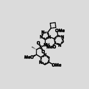 COc1cnc([C@@H](OC)[C@H](C)S(=O)(=O)Nc2nnc(C3CCC3)n2-c2c(OC)ncnc2OC)nc1